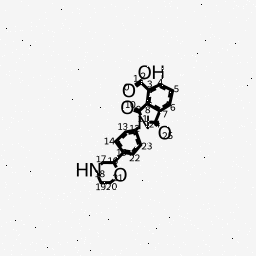 O=C(O)c1cccc2c1C(=O)N(c1ccc(C3CNCCO3)cc1)C2=O